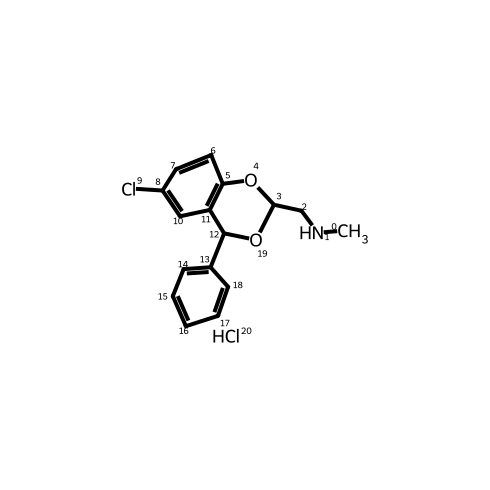 CNCC1Oc2ccc(Cl)cc2C(c2ccccc2)O1.Cl